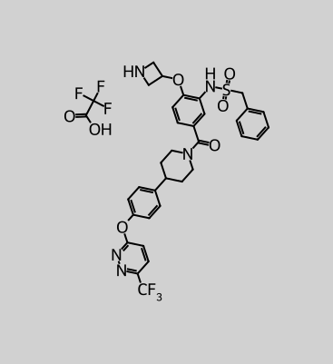 O=C(O)C(F)(F)F.O=C(c1ccc(OC2CNC2)c(NS(=O)(=O)Cc2ccccc2)c1)N1CCC(c2ccc(Oc3ccc(C(F)(F)F)nn3)cc2)CC1